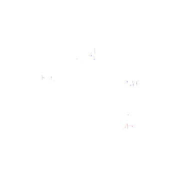 Cc1ccc(Nc2ccc(Nc3ccc(O)cc3)cc2)cc1